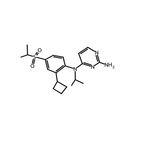 CC(C)N(c1ccnc(N)n1)c1ccc(S(=O)(=O)C(C)C)cc1C1CCC1